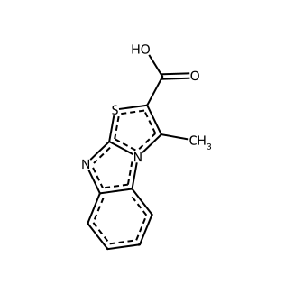 Cc1c(C(=O)O)sc2nc3ccccc3n12